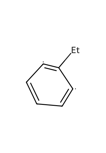 CCc1[c]ccc[c]1